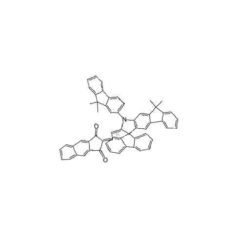 CC1(C)c2ccccc2-c2ccc(N3/C(=C/C=C4C(=O)c5cc6ccccc6cc5C4=O)C4(c5ccccc5-c5ccccc54)c4cc5c(cc43)C(C)(C)c3ccccc3-5)cc21